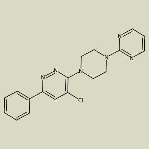 Clc1cc(-c2ccccc2)nnc1N1CCN(c2ncccn2)CC1